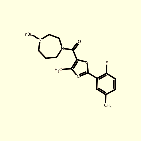 CCCCN1CCCN(C(=O)c2sc(-c3cc(C)ccc3F)nc2C)CC1